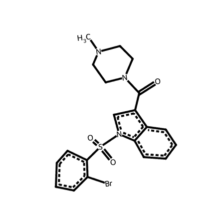 CN1CCN(C(=O)c2cn(S(=O)(=O)c3ccccc3Br)c3ccccc23)CC1